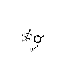 NCc1cccc(F)c1.O=S(=O)(O)C(F)(F)F